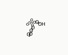 C=CC(=O)OCCOCCOc1ccc(C2(c3ccc(OCCO)cc3)c3ccccc3-c3cc4ccccc4cc32)cc1